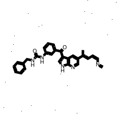 C=N/C=C\C=C(/C)c1cnc2[nH]cc(C(=O)c3cccc(NC(=O)NCc4ccccc4)c3)c2c1